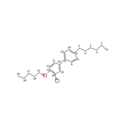 CCCCCCc1ccc(-c2ccc(OCCCCC)c(Cl)c2)cc1